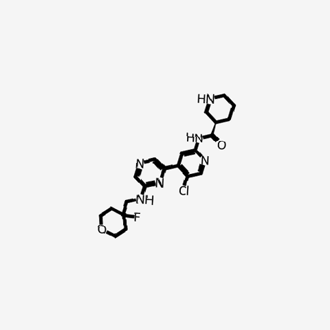 O=C(Nc1cc(-c2cncc(NCC3(F)CCOCC3)n2)c(Cl)cn1)[C@@H]1CCCNC1